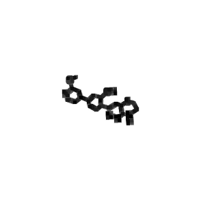 COc1cc(-c2ccc(-c3cc4c(nn3)NCCS4)c(O)c2)ccn1